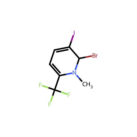 CN1C(C(F)(F)F)=CC=C(I)C1Br